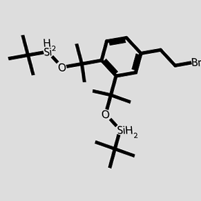 CC(C)(C)[SiH2]OC(C)(C)c1ccc(CCBr)cc1C(C)(C)O[SiH2]C(C)(C)C